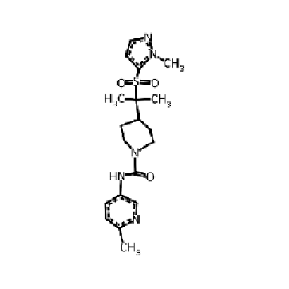 Cc1ccc(NC(=O)N2CCC(C(C)(C)S(=O)(=O)c3ccnn3C)CC2)cn1